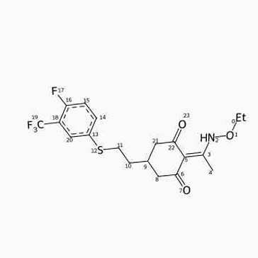 CCONC(C)=C1C(=O)CC(CCSc2ccc(F)c(C(F)(F)F)c2)CC1=O